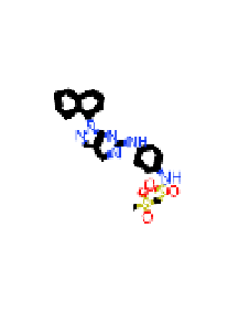 CS(=O)(=O)CS(=O)(=O)Nc1ccc(Nc2ncc3cnn(-c4cccc5ccccc45)c3n2)cc1